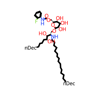 CCCCCCCCCCCCCCCCCCCCCCCCCCN[C@@H](CO[C@@H]1O[C@H](COC(=O)Nc2ccccc2F)[C@H](O)[C@H](O)[C@H]1O)[C@H](O)[C@H](O)CCCCCCCCCCCCCC